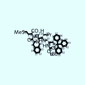 CSCC[C@H](NC(=O)[C@@H]1Cc2ccccc2CN1C(=O)[C@H](CC(C)C)NC[C@H](CSC(c1ccccc1)(c1ccccc1)c1ccccc1)NC(=O)OC(C)(C)C)C(=O)O